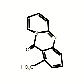 O=C(O)c1cccc2nc3ccccn3c(=O)c12